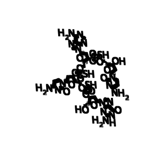 Nc1ccn([C@H]2CC(O)[C@@H](COP(=O)(S)OC3C[C@H](n4cnc5c(N)ncnc54)O[C@@H]3COP(=O)(S)OC3C[C@H](n4ccc(N)nc4=O)O[C@@H]3COP(=O)(S)OC3C[C@H](n4cnc5c(=O)[nH]c(N)nc54)O[C@@H]3CO)O2)c(=O)n1